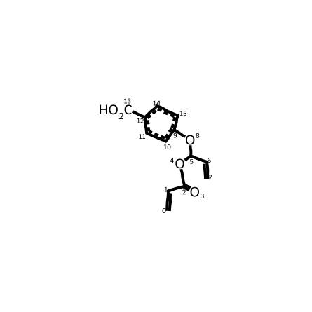 C=CC(=O)OC(C=C)Oc1ccc(C(=O)O)cc1